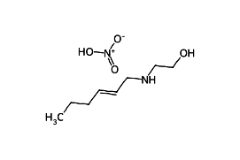 CCCC=CCNCCO.O=[N+]([O-])O